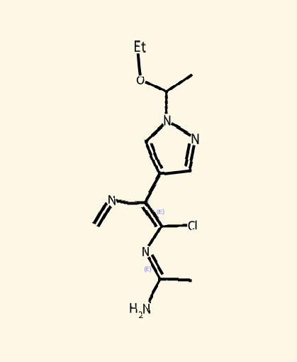 C=N/C(=C(Cl)\N=C(/C)N)c1cnn(C(C)OCC)c1